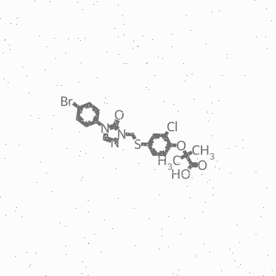 CC(C)(Oc1ccc(SCn2ncn(-c3ccc(Br)cc3)c2=O)cc1Cl)C(=O)O